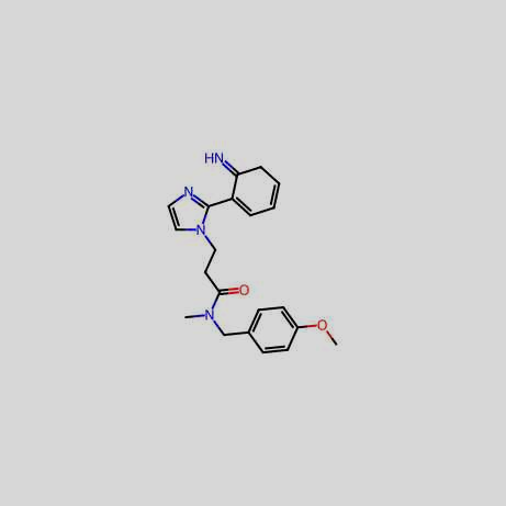 COc1ccc(CN(C)C(=O)CCn2ccnc2C2=CC=CCC2=N)cc1